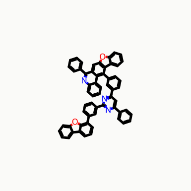 c1ccc(-c2cc(-c3cccc(-c4c5c(cc6c(-c7ccccc7)nc7ccccc7c46)oc4ccccc45)c3)nc(-c3cccc(-c4cccc5c4oc4ccccc45)c3)n2)cc1